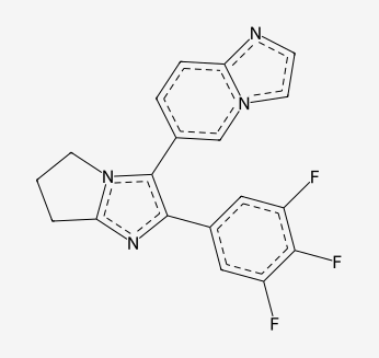 Fc1cc(-c2nc3n(c2-c2ccc4nccn4c2)CCC3)cc(F)c1F